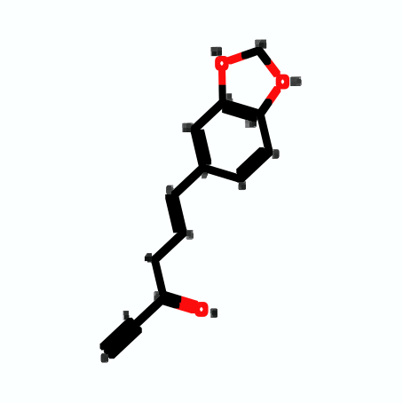 C#CC(=O)C/C=C/c1ccc2c(c1)OCO2